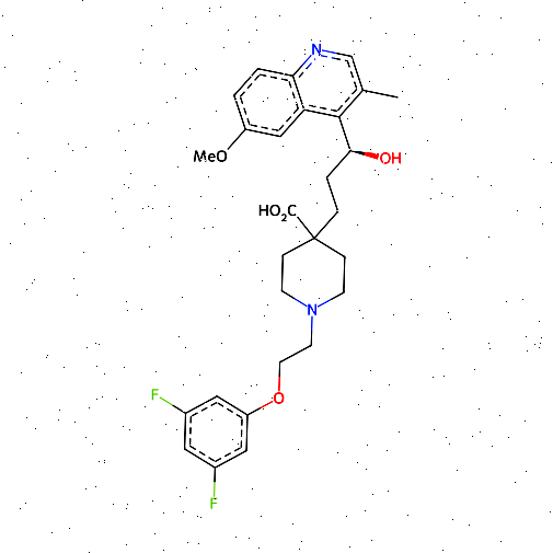 COc1ccc2ncc(C)c([C@@H](O)CCC3(C(=O)O)CCN(CCOc4cc(F)cc(F)c4)CC3)c2c1